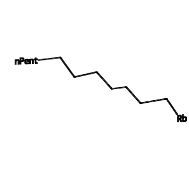 CCCCCCCCCCC[CH2][Rb]